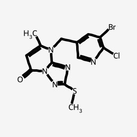 CSc1nc2n(Cc3cnc(Cl)c(Br)c3)c(C)cc(=O)n2n1